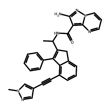 CC(NC(=O)c1c(N)nn2cccnc12)C1=C(c2ccccc2)c2c(C#Cc3cnn(C)c3)cccc2C1